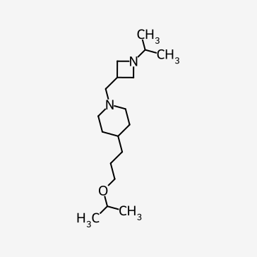 CC(C)OCCCC1CCN(CC2CN(C(C)C)C2)CC1